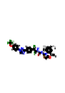 Cc1cc(C)c(N2C(=O)CS/C2=N\C(=O)NC(F)C(F)c2ccc(-c3ncn(-c4ccc(OC(F)(F)F)cc4)n3)cc2)c(C)c1